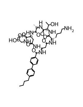 CCCCc1ccc(-c2ccc(C(=O)NCCC(=O)N[C@@H](CCCCN)C(=O)N[C@H](C(=O)N[C@@H](C)C(=O)N[C@@H](CC(N)=O)C(=O)NCB(O)O)C(C)O)cc2)cc1